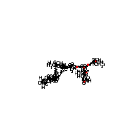 CC(C)(C)C(=O)SCCCCOP(=O)(OCCCCSC(=O)C(C)(C)CCC(C)(C)C(=O)SCCOCCOP(=O)(OCCOCCSC(O)C(C)(C)C)OC[C@@]1(F)O[C@@H](n2ccc(=O)[nH]c2=O)[C@](C)(O)[C@@H]1O)OC1[C@]2(O)[C@@](C)(O)[C@H](n3ccc(=O)[nH]c3=O)O[C@]12F